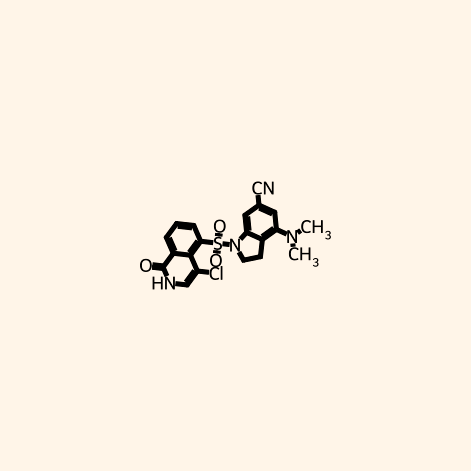 CN(C)c1cc(C#N)cc2c1CCN2S(=O)(=O)c1cccc2c(=O)[nH]cc(Cl)c12